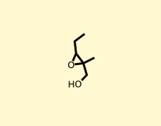 CCC1OC1(C)CO